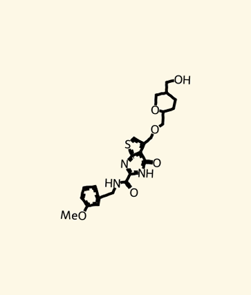 COc1cccc(CNC(=O)c2nc3scc(COCC4CCC(CO)CO4)c3c(=O)[nH]2)c1